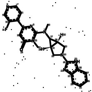 CN(c1nc(-c2ccncc2F)cc(=O)n1C)C1[C@H]2CN(c3nc4ccccc4[nH]3)C[C@@H]12